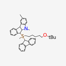 Cc1ccc2c(c1)C1c3ccccc3C(S(C)(CCCCCCOC(C)(C)C)C3c4ccccc4-c4ccccc43)C1N2C